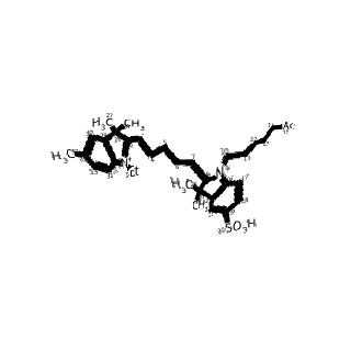 CC[N+]1=C(/C=C/C=C/C=C2/N(CCCCCC(C)=O)c3ccc(S(=O)(=O)O)cc3C2(C)C)C(C)(C)c2cc(C)ccc21